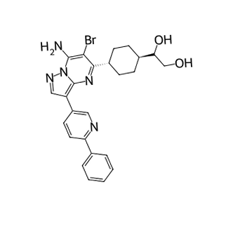 Nc1c(Br)c([C@H]2CC[C@H](C(O)CO)CC2)nc2c(-c3ccc(-c4ccccc4)nc3)cnn12